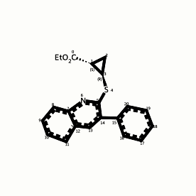 CCOC(=O)[C@@H]1C[C@H]1Sc1nc2ccccc2cc1-c1ccccc1